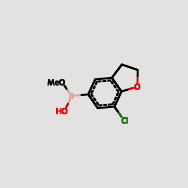 COB(O)c1cc(Cl)c2c(c1)CCO2